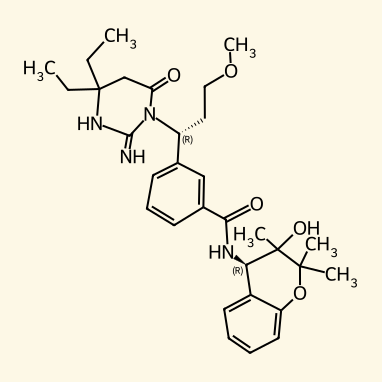 CCC1(CC)CC(=O)N([C@H](CCOC)c2cccc(C(=O)N[C@@H]3c4ccccc4OC(C)(C)C3(C)O)c2)C(=N)N1